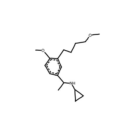 COCCCCc1cc(C(C)NC2CC2)ccc1OC